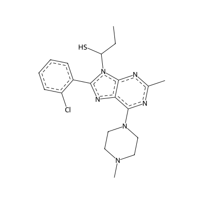 CCC(S)n1c(-c2ccccc2Cl)nc2c(N3CCN(C)CC3)nc(C)nc21